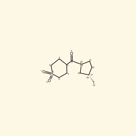 O=C(C1CCS(=O)(=O)CC1)N1CC[C@H](I)C1